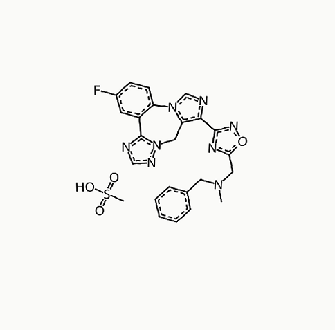 CN(Cc1ccccc1)Cc1nc(-c2ncn3c2Cn2ncnc2-c2cc(F)ccc2-3)no1.CS(=O)(=O)O